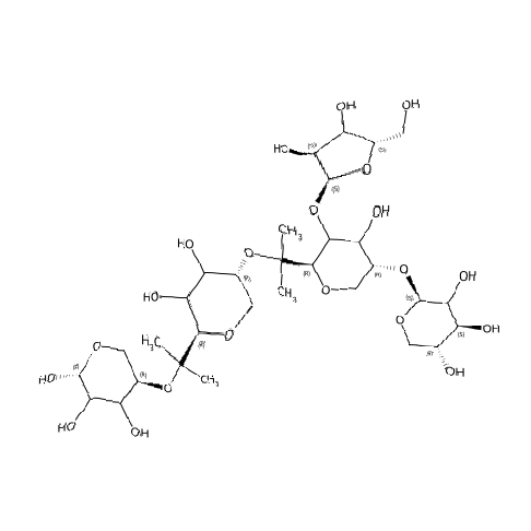 CC(C)(O[C@@H]1CO[C@@H](O)C(O)C1O)[C@@H]1OC[C@@H](OC(C)(C)[C@@H]2OC[C@@H](O[C@@H]3OC[C@@H](O)[C@H](O)C3O)C(O)C2O[C@@H]2O[C@@H](CO)C(O)[C@@H]2O)C(O)C1O